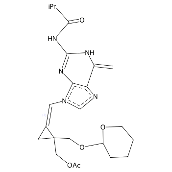 C=C1NC(NC(=O)C(C)C)=Nc2c1ncn2/C=C1/CC1(COC(C)=O)COC1CCCCO1